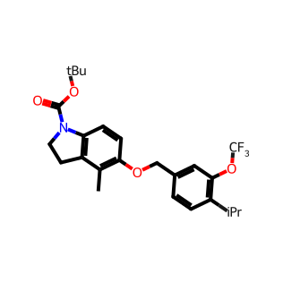 Cc1c(OCc2ccc(C(C)C)c(OC(F)(F)F)c2)ccc2c1CCN2C(=O)OC(C)(C)C